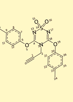 C#CCN1C(Oc2ccc(C)cc2)=NS(=O)(=O)N=C1Oc1ccc(C)cc1